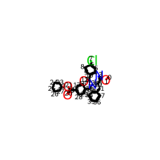 COC1=Nc2cc(Cl)ccc2C(=O)N(Cc2ccc(C(=O)OC3CCCCC3)cc2)[C@@H]1Cc1ccccc1